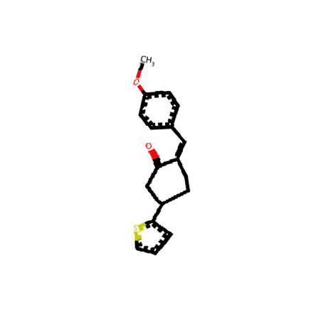 COc1ccc(/C=C2/CCC(c3cccs3)CC2=O)cc1